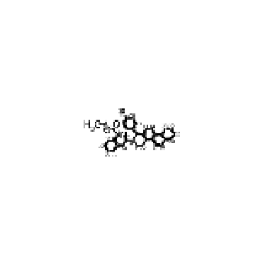 CCOC(=O)c1nc(C2CCc3c(ccc4c3ccc3ccccc34)C2c2ccc(F)cc2)cc2ccccc12